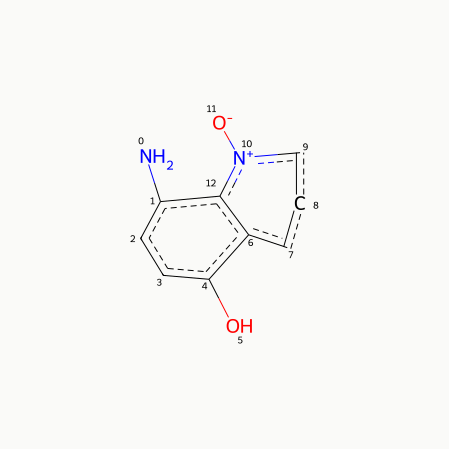 Nc1ccc(O)c2ccc[n+]([O-])c12